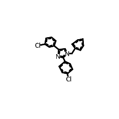 Clc1ccc(-c2nc(-c3cccc(Cl)c3)cn2Cc2ccccc2)cc1